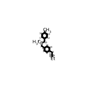 C[CH2][Be][CH2]c1ccc(CB(C)Cc2ccc(C)cc2)cc1